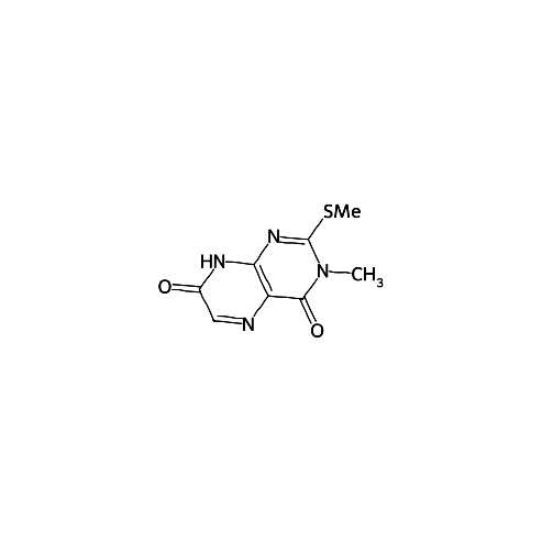 CSc1nc2[nH]c(=O)cnc2c(=O)n1C